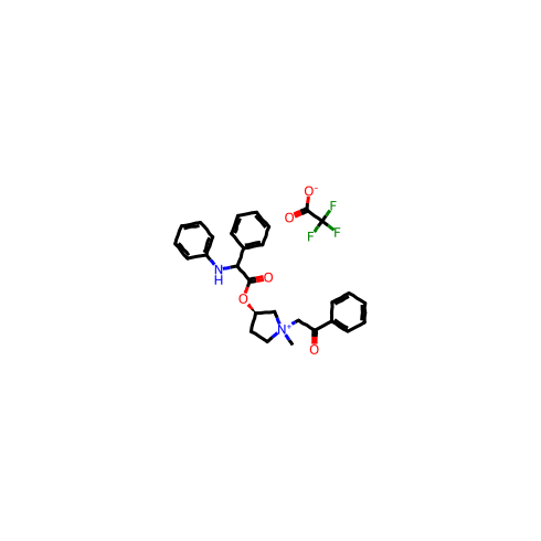 C[N+]1(CC(=O)c2ccccc2)CC[C@@H](OC(=O)C(Nc2ccccc2)c2ccccc2)C1.O=C([O-])C(F)(F)F